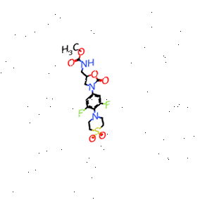 COC(=O)NCC1CN(c2cc(F)c(N3CCS(=O)(=O)CC3)c(F)c2)C(=O)O1